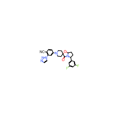 N#Cc1ccc(N2CCC3(CC2)OC2CCC(c4cc(F)cc(F)c4)N2C3=O)cc1-n1ccnn1